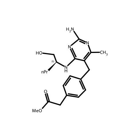 CCC[C@@H](CO)Nc1nc(N)nc(C)c1Cc1ccc(CC(=O)OC)cc1